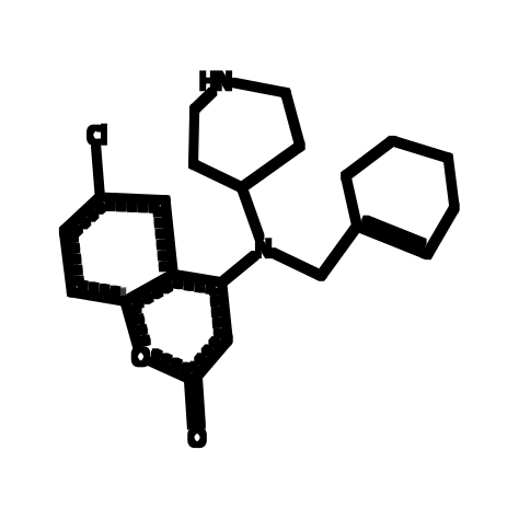 O=c1cc(N(CC2=CCCCC2)C2CCNCC2)c2cc(Cl)ccc2o1